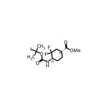 COC(=O)[C@@H]1CC[C@@H](NC(=O)OC(C)(C)I)C(F)(F)C1